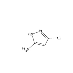 Nc1cc(Cl)n[nH]1